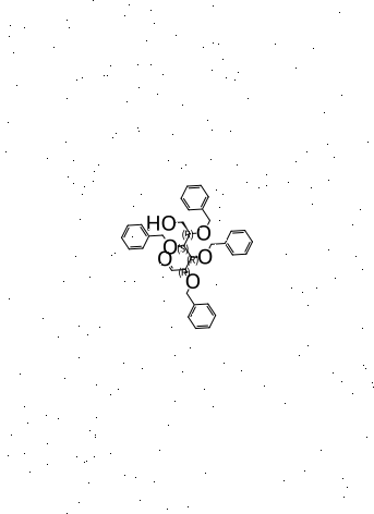 O=C[C@H](OCc1ccccc1)[C@H](OCc1ccccc1)[C@@H](OCc1ccccc1)[C@@H](CO)OCc1ccccc1